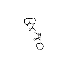 O=C(NCCC(=O)N1CCCC2CCCC=C21)NC1CCCCCC1